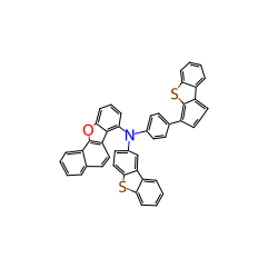 c1ccc2c(c1)ccc1c2oc2cccc(N(c3ccc(-c4cccc5c4sc4ccccc45)cc3)c3ccc4sc5ccccc5c4c3)c21